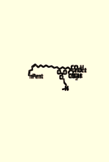 CCCCC/C=C\C/C=C\CCCCCCCCC(CCCC(CC(=O)O)(C(=O)O)C(CCCCCCCC)CCCCCCCC)OC(=O)OCCCN(C)C